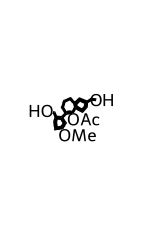 COc1ccc(CO)c(C2=C(OC(C)=O)c3ccc(CO)cc3CCC2)c1